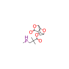 CPCC(C)(C)C(=O)OC1C2CC3C(=O)OC1C3O2